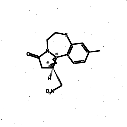 Cc1ccc2c(c1)SCCN1C(=O)C[C@H]3[C@H](C[N+](=O)[O-])CC[C@]231